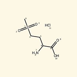 CS(=O)(=O)CCC(N)C(=O)O.Cl